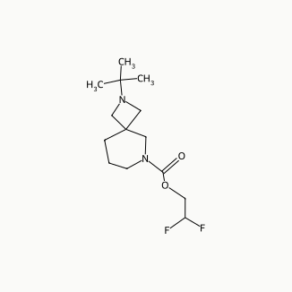 CC(C)(C)N1CC2(CCCN(C(=O)OCC(F)F)C2)C1